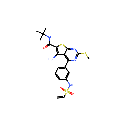 C=CS(=O)(=O)Nc1cccc(-c2nc(SC)nc3sc(C(=O)NC(C)(C)C)c(N)c23)c1